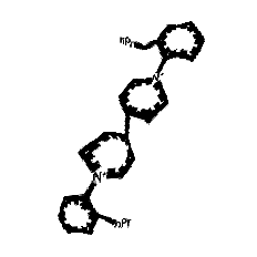 CCCc1ccccc1-[n+]1ccc(-c2cc[n+](-c3ccccc3CCC)cc2)cc1